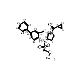 COCS(=O)(=O)N[C@H]1CCN(C(=O)C2CC2)[C@H]1Cc1cccc(-c2ccccc2)c1